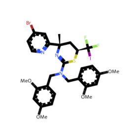 COc1ccc(CN(Cc2ccc(OC)cc2OC)C2=N[C@](C)(c3cc(Br)ccn3)C[C@@H](C(F)(F)I)S2)c(OC)c1